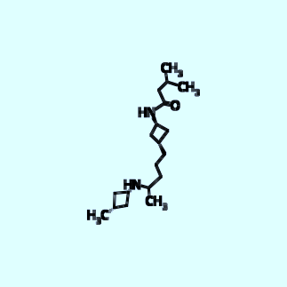 CC(C)CC(=O)N[C@H]1C[C@@H](CCCC(C)N[C@H]2C[C@@H](C)C2)C1